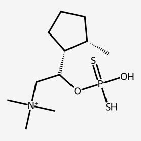 C[C@H]1CCC[C@H]1C(C[N+](C)(C)C)OP(O)(=S)S